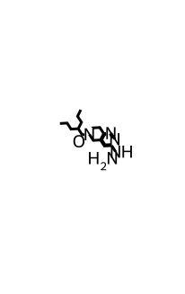 CCCC(CCC)C(=O)N1CCc2nnc(NN)cc2C1